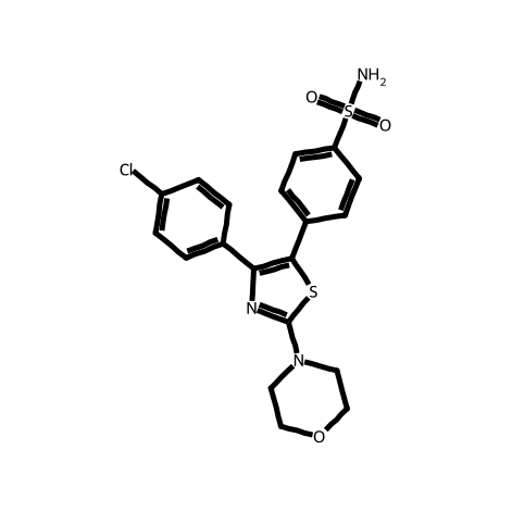 NS(=O)(=O)c1ccc(-c2sc(N3CCOCC3)nc2-c2ccc(Cl)cc2)cc1